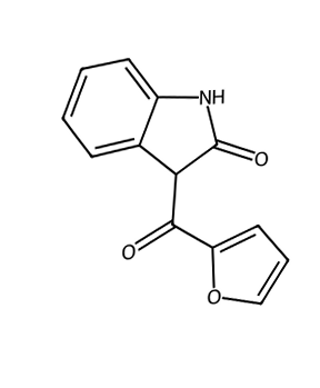 O=C1Nc2ccccc2C1C(=O)c1ccco1